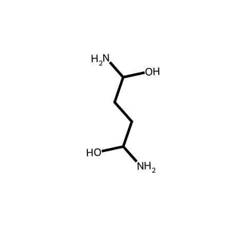 NC(O)CCC(N)O